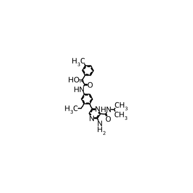 CCc1cc(NC(=O)[C@H](O)c2cccc(C)c2)ccc1-c1cnc(N)c(C(=O)NC(C)C)n1